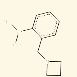 OB(O)c1ccccc1CN1CCC1